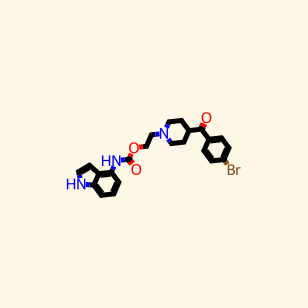 O=C(Nc1cccc2[nH]ccc12)OCCN1CCC(C(=O)c2ccc(Br)cc2)CC1